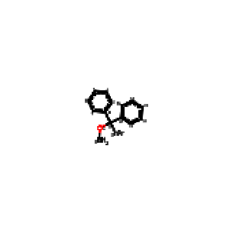 BOC(CCC)(c1ccccc1)c1ccccc1